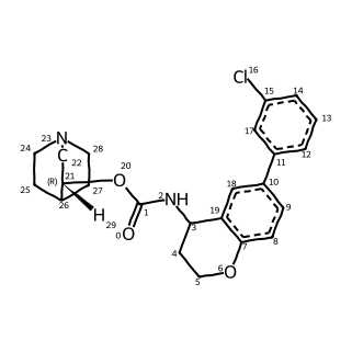 O=C(NC1CCOc2ccc(-c3cccc(Cl)c3)cc21)O[C@H]1CN2CCC1CC2